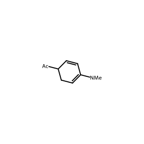 CNC1=CCC(C(C)=O)C=C1